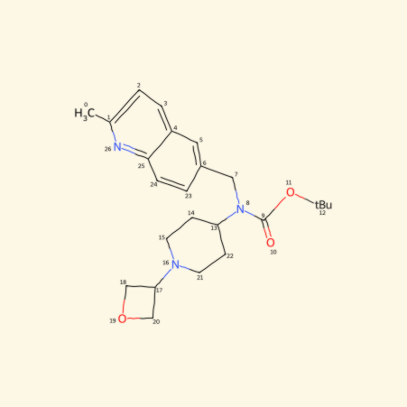 Cc1ccc2cc(CN(C(=O)OC(C)(C)C)C3CCN(C4COC4)CC3)ccc2n1